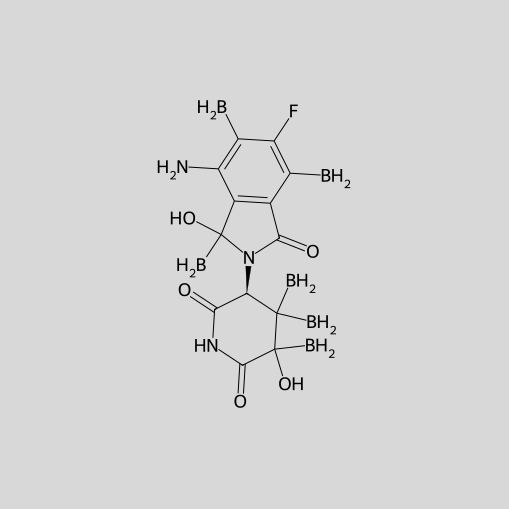 Bc1c(N)c2c(c(B)c1F)C(=O)N([C@@H]1C(=O)NC(=O)C(B)(O)C1(B)B)C2(B)O